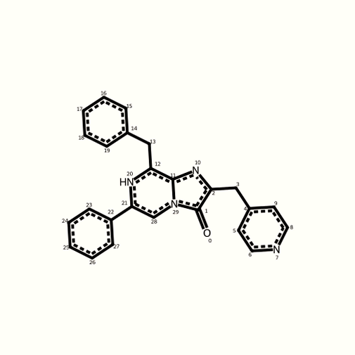 O=c1c(Cc2ccncc2)nc2c(Cc3ccccc3)[nH]c(-c3ccccc3)cn1-2